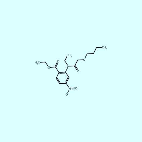 CCCCOCC(=O)N(CC)c1cc([N+](=O)[O-])ccc1C(=O)OCC